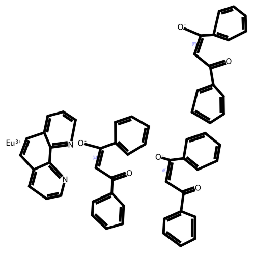 O=C(/C=C(/[O-])c1ccccc1)c1ccccc1.O=C(/C=C(/[O-])c1ccccc1)c1ccccc1.O=C(/C=C(/[O-])c1ccccc1)c1ccccc1.[Eu+3].c1cnc2c(c1)ccc1cccnc12